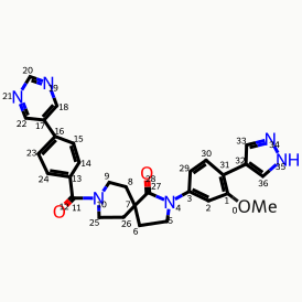 COc1cc(N2CCC3(CCN(C(=O)c4ccc(-c5cncnc5)cc4)CC3)C2=O)ccc1-c1cn[nH]c1